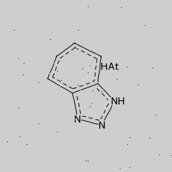 [AtH].c1ccc2[nH]nnc2c1